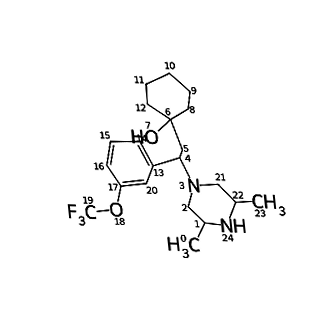 CC1CN(C(CC2(O)CCCCC2)c2cccc(OC(F)(F)F)c2)CC(C)N1